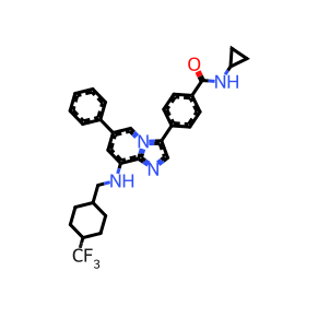 O=C(NC1CC1)c1ccc(-c2cnc3c(NCC4CCC(C(F)(F)F)CC4)cc(-c4ccccc4)cn23)cc1